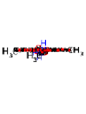 CCCCCCCCCCCCCCCCCCOC(=O)NC(CNC(=O)OCCCCCCCCCCCCCCCC)C(=O)NCC